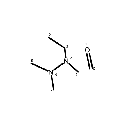 C=O.CCN(C)N(C)C